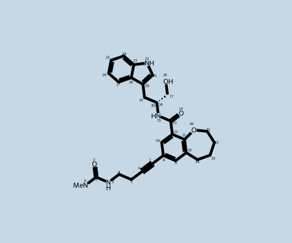 CNC(=O)NCCC#Cc1cc2c(c(C(=O)N[C@@H](CO)Cc3c[nH]c4ccccc34)c1)OCCCC2